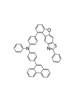 c1ccc(-c2nc3cc4c(cc3s2)oc2cccc(-c3ccc(N(c5ccccc5)c5ccc(-c6cc7ccccc7c7ccccc67)cc5)cc3)c24)cc1